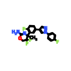 CC1(c2cc(-c3cnn(-c4ccc(F)cc4)c3)ccc2F)N=C(N)OCC1(F)F